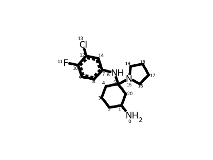 NC1CCCC(Nc2ccc(F)c(Cl)c2)(N2CCCC2)C1